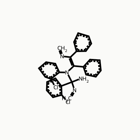 C=N/C(=C(/c1ccccc1)N(c1ccccc1Cl)C(N)(N=C)c1ccccc1Cl)c1ccccc1